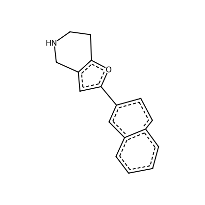 c1ccc2cc(-c3cc4c(o3)CCNC4)ccc2c1